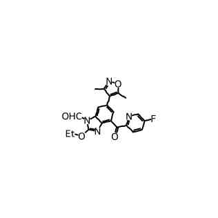 CCOc1nc2c(C(=O)c3ccc(F)cn3)cc(-c3c(C)noc3C)cc2n1C=O